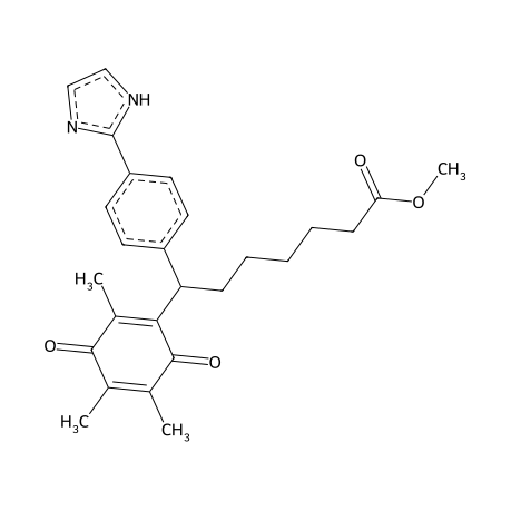 COC(=O)CCCCCC(C1=C(C)C(=O)C(C)=C(C)C1=O)c1ccc(-c2ncc[nH]2)cc1